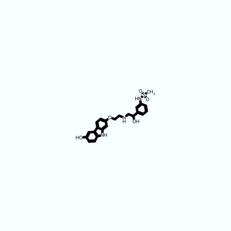 CS(=O)(=O)Nc1cccc(C(O)CNCCOc2ccc3c(c2)[nH]c2ccc(O)cc23)c1